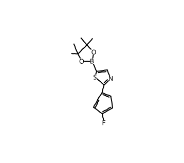 CC1(C)OB(c2cnc(-c3ccc(F)cc3)s2)OC1(C)C